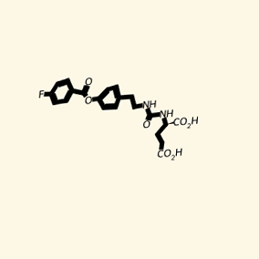 O=C(O)CC[C@H](NC(=O)NCCc1ccc(OC(=O)c2ccc(F)cc2)cc1)C(=O)O